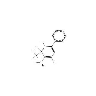 CN1C(c2ccncc2)=CC(N)=C([N+](=O)[O-])C1(N)C(F)(F)F